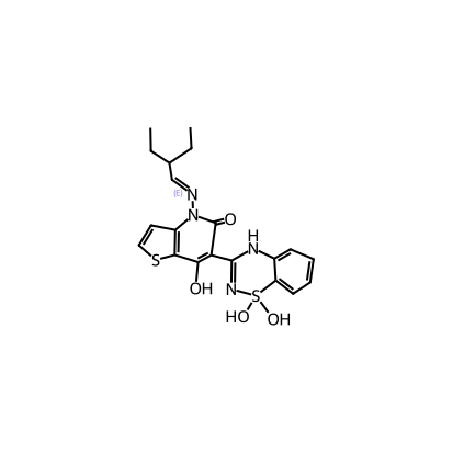 CCC(/C=N/n1c(=O)c(C2=NS(O)(O)c3ccccc3N2)c(O)c2sccc21)CC